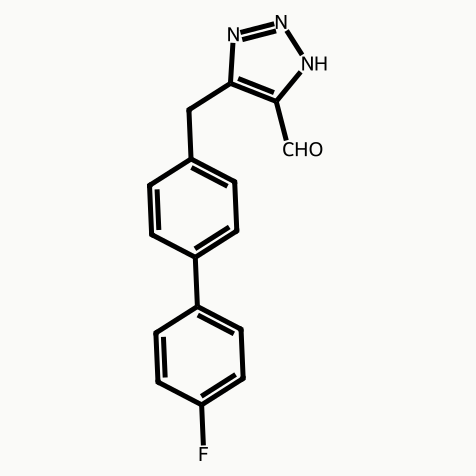 O=Cc1[nH]nnc1Cc1ccc(-c2ccc(F)cc2)cc1